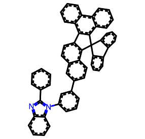 c1ccc(-c2nc3ccccc3n2-c2cccc(-c3ccc4c5c(ccc4c3)-c3c(c4ccccc4c4ccccc34)C53c4ccccc4-c4ccccc43)c2)cc1